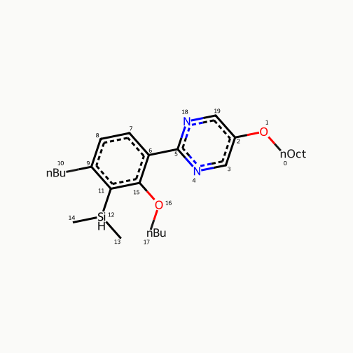 CCCCCCCCOc1cnc(-c2ccc(CCCC)c([SiH](C)C)c2OCCCC)nc1